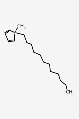 CCCCCCCCCCCC[P]1(C)C=CC=C1